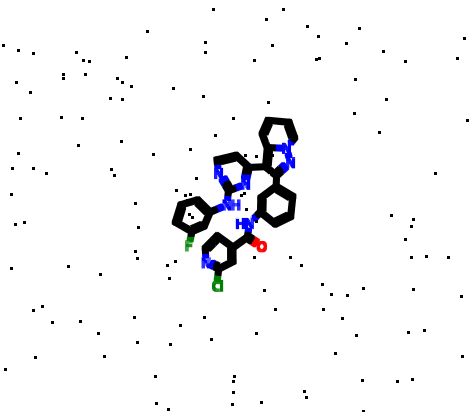 O=C(Nc1cccc(-c2nn3ccccc3c2-c2ccnc(Nc3cccc(F)c3)n2)c1)c1ccnc(Cl)c1